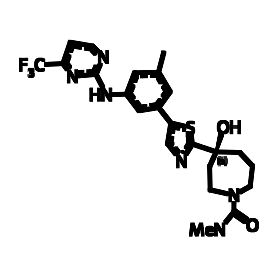 CNC(=O)N1CCC[C@@](O)(c2ncc(-c3cc(C)cc(Nc4nccc(C(F)(F)F)n4)c3)s2)CC1